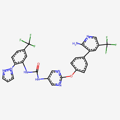 Nc1ncc(C(F)(F)F)cc1-c1ccc(Oc2ncc(NC(=O)Nc3cc(C(F)(F)F)ccc3-n3cccn3)cn2)cc1